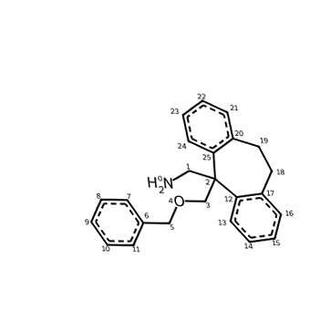 NCC1(COCc2ccccc2)c2ccccc2CCc2ccccc21